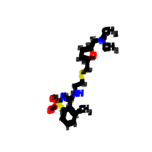 Cc1cccc2c1C(NCCSCc1ccc(CN(C)C)o1)=NS2(=O)=O